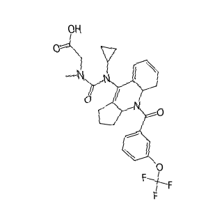 CN(CC(=O)O)C(=O)N(C1=C2CCCC2N(C(=O)c2cccc(OC(F)(F)F)c2)C2CC=CC=C12)C1CC1